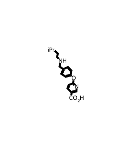 CC(C)CCNCc1ccc(Oc2ccc(C(=O)O)cn2)cc1